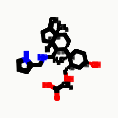 C=C1CC[C@H]2[C@H](CNCc3ccc[nH]3)[C@@H]([C@@]3(C)CC[C@H](O)C[C@@H]3CO)CC[C@]12C.CC(=O)O